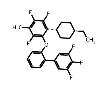 CC[C@H]1CC[C@H](c2c(F)c(F)c(C)c(F)c2Oc2ccccc2-c2cc(F)c(F)c(F)c2)CC1